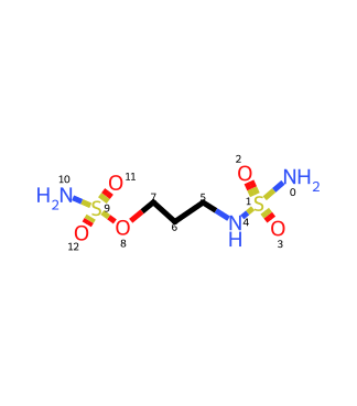 NS(=O)(=O)NCCCOS(N)(=O)=O